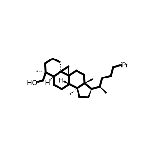 CC(C)CCC[C@@H](C)[C@H]1CC[C@@]2(C)[C@@H]3CC[C@H]4[C@@](C)(CO)CCC[C@@]45C[C@@]35CC[C@]12C